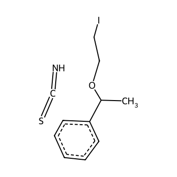 CC(OCCI)c1ccccc1.N=C=S